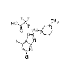 CN1CCC[C@@H](Nc2nc3nc(Cl)cc(I)c3o2)C1.O=C(O)C(F)(F)F